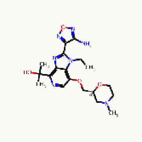 CCn1c(-c2nonc2N)nc2c(C(C)(C)O)ncc(OC[C@@H]3CN(C)CCO3)c21